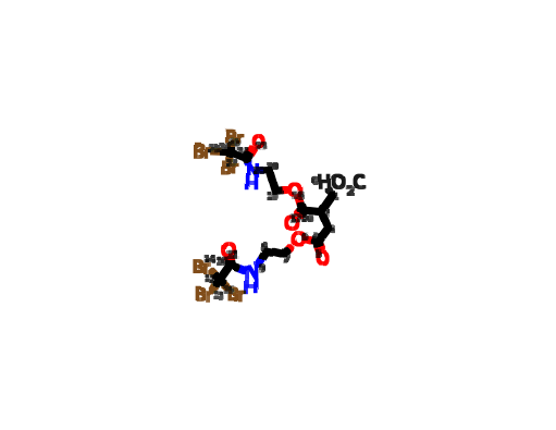 O=C(O)CC(CC(=O)OCCNC(=O)C(Br)(Br)Br)C(=O)OCCNC(=O)C(Br)(Br)Br